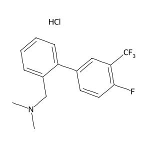 CN(C)Cc1ccccc1-c1ccc(F)c(C(F)(F)F)c1.Cl